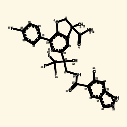 C[C@]1(C(N)=O)COc2c1cc(C(O)(CNC(=O)c1cc3cn[nH]c3cc1Cl)C(F)(F)F)nc2-c1ccc(F)cc1